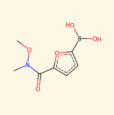 CON(C)C(=O)c1ccc(B(O)O)o1